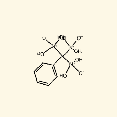 [O-][N+](O)(O)C(c1ccccc1)([N+]([O-])(O)O)[N+]([O-])(O)O